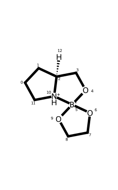 C1C[C@H]2CO[B-]3(OCCO3)[NH+]2C1